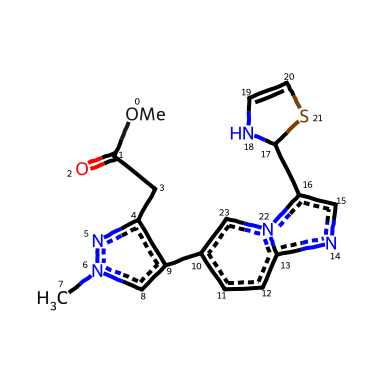 COC(=O)Cc1nn(C)cc1-c1ccc2ncc(C3NC=CS3)n2c1